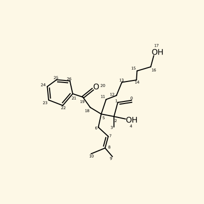 C=CC(C)(O)C(CC=C(C)C)(CCCCCCO)CC(=O)c1ccccc1